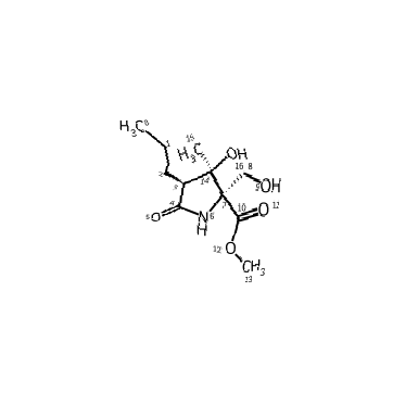 CCC[C@@H]1C(=O)N[C@](CO)(C(=O)OC)[C@]1(C)O